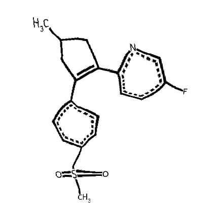 CC1CC(c2ccc(S(C)(=O)=O)cc2)=C(c2ccc(F)cn2)C1